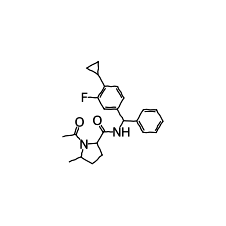 CC(=O)N1C(C)CCC1C(=O)NC(c1ccccc1)c1ccc(C2CC2)c(F)c1